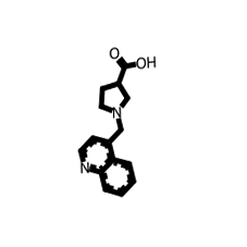 O=C(O)C1CCN(Cc2ccnc3ccccc23)C1